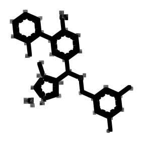 Cc1cc(C)cc(COC(c2ccc(C#N)c(-c3ccccc3C)c2)c2cncn2C)c1.Cl